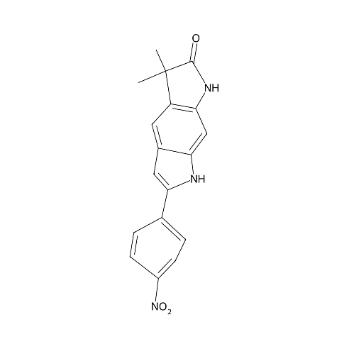 CC1(C)C(=O)Nc2cc3[nH]c(-c4ccc([N+](=O)[O-])cc4)cc3cc21